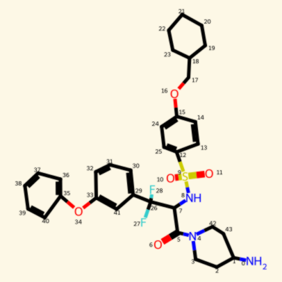 NC1CCN(C(=O)C(NS(=O)(=O)c2ccc(OCC3CCCCC3)cc2)C(F)(F)c2cccc(Oc3ccccc3)c2)CC1